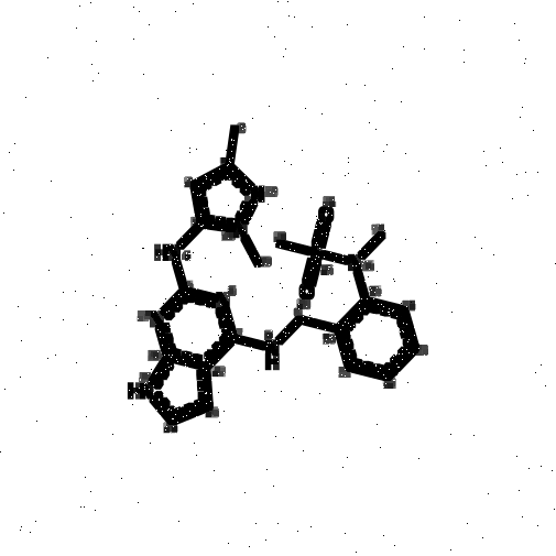 Cc1cc(Nc2nc(NCc3ccccc3N(C)S(C)(=O)=O)c3cc[nH]c3n2)n(C)n1